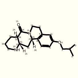 CC(C)COc1ccc2c(c1)CCN1C(=O)[C@H]3CCCN[C@H]3C[C@@H]21